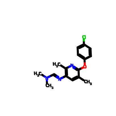 Cc1cc(/N=C/N(C)C)c(C)nc1Oc1ccc(Cl)cc1